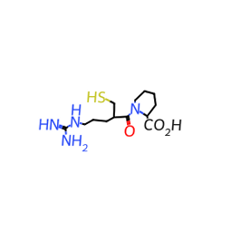 N=C(N)NCCCC(CS)C(=O)N1CCCCC1C(=O)O